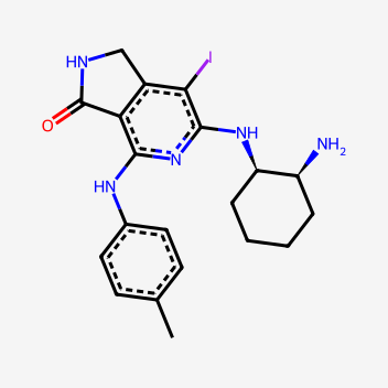 Cc1ccc(Nc2nc(N[C@@H]3CCCC[C@@H]3N)c(I)c3c2C(=O)NC3)cc1